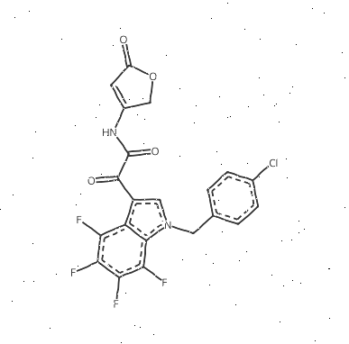 O=C1C=C(NC(=O)C(=O)c2cn(Cc3ccc(Cl)cc3)c3c(F)c(F)c(F)c(F)c23)CO1